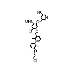 Cc1c(COc2cc(OCc3cncc(C#N)c3)c(C=O)cc2Cl)cccc1-c1cccc(OCCCCl)c1C